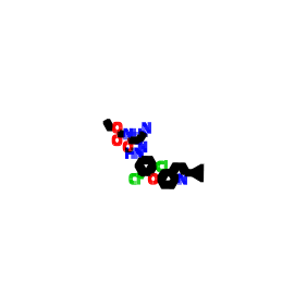 CCOC(=O)NC(=O)C(C#N)=NNc1cc(Cl)c(Oc2ccc3nc(C4CC4)ccc3c2)c(Cl)c1